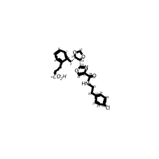 O=C(O)CCc1ccccc1C[C@@H]1OCO[C@@H]1c1nc(C(=O)NCCc2ccc(Cl)cc2)co1